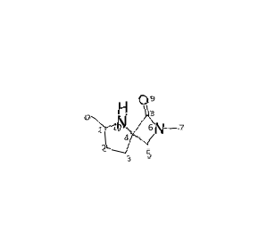 CC1CCC2(CN(C)C2=O)N1